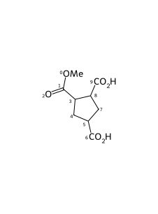 COC(=O)C1CC(C(=O)O)CC1C(=O)O